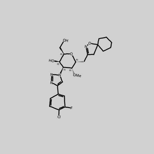 CO[C@@H]1[C@@H](n2cc(-c3ccc(Cl)c(F)c3)nn2)[C@@H](O)[C@@H](CO)O[C@@H]1CC1=NOC2(CCCCC2)C1